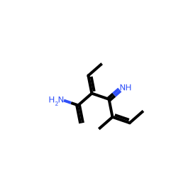 C=C(N)/C(=C/C)C(=N)/C(C)=C\C